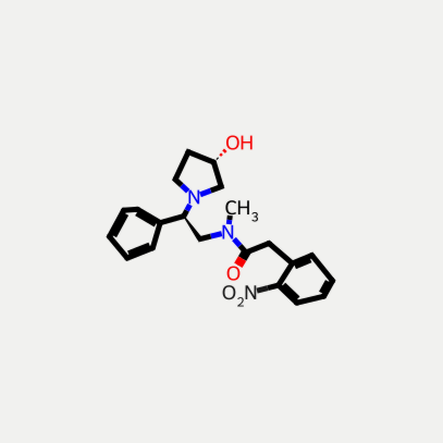 CN(C[C@@H](c1ccccc1)N1CC[C@H](O)C1)C(=O)Cc1ccccc1[N+](=O)[O-]